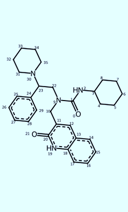 O=C(NC1CCCCC1)N(Cc1cc2ccccc2[nH]c1=O)CC(c1ccccc1)N1CCCCC1